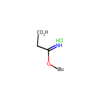 CCC(C)OC(=N)CC(=O)O.Cl